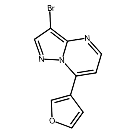 Brc1cnn2c(-c3ccoc3)ccnc12